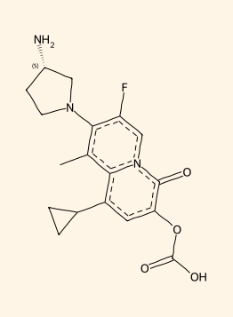 Cc1c(N2CC[C@H](N)C2)c(F)cn2c(=O)c(OC(=O)O)cc(C3CC3)c12